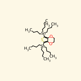 CCC[CH2][Sn]([CH2]CCC)([CH2]CCC)[c]1s[c]([Sn]([CH2]CCC)([CH2]CCC)[CH2]CCC)c2c1OCCO2